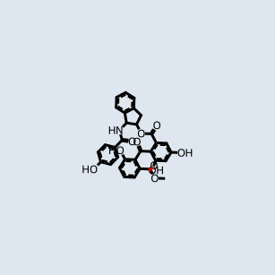 COC(=O)c1cccc(O)c1C(=O)c1c(O)cc(O)cc1C(=O)OC1Cc2ccccc2C1NC(=O)c1ccc(O)cc1